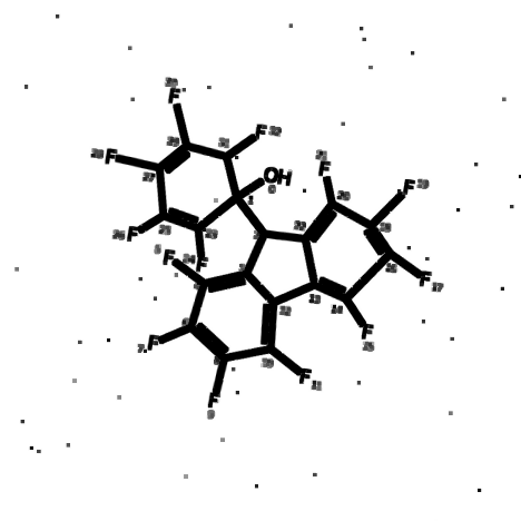 OC1(C2c3c(F)c(F)c(F)c(F)c3-c3c(F)c(F)c(F)c(F)c32)C(F)=C(F)C(F)=C(F)C1F